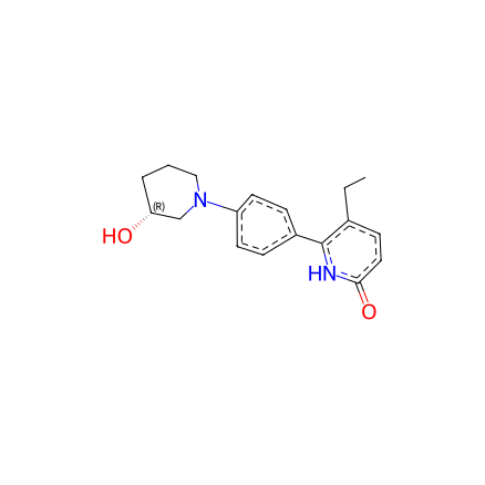 CCc1ccc(=O)[nH]c1-c1ccc(N2CCC[C@@H](O)C2)cc1